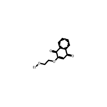 CCOCCOC1=CC(=O)c2ccccc2C1=O